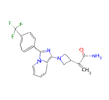 C=C(C(N)=O)C1CN(c2nc(-c3ccc(C(F)(F)F)cc3)n3ccccc23)C1